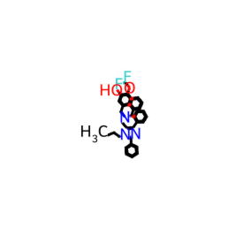 CCCCn1c(-c2ccccc2)nc(-c2ccccc2)c1CN(Cc1ccccc1)Cc1ccc(OC(F)F)c(O)c1